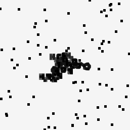 CC1(C)O[C@H]2[C@H](c3ccc4c(N)ncnn34)O[C@](C#N)(COC(=O)OCC3CCCC3)[C@H]2O1